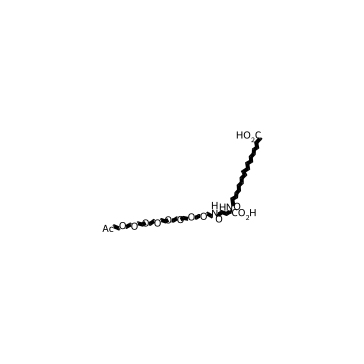 CC(=O)CCOCCOCCOCCOCCOCCOCCOCCOCCNC(=O)CCC(NC(=O)CCCCCCCCCCCCCCCCCCC(=O)O)C(=O)O